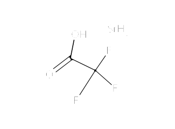 O=C(O)C(F)(F)F.[SrH2]